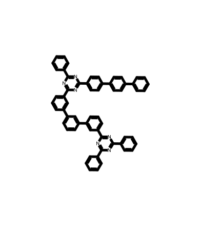 c1ccc(-c2ccc(-c3ccc(-c4nc(-c5ccccc5)nc(-c5cccc(-c6cccc(-c7cccc(-c8nc(-c9ccccc9)nc(-c9ccccc9)n8)c7)c6)c5)n4)cc3)cc2)cc1